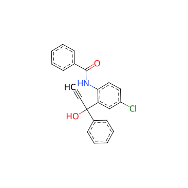 C#CC(O)(c1ccccc1)c1cc(Cl)ccc1NC(=O)c1ccccc1